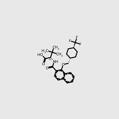 CC(C)(C)[C@H](NC(=O)c1ccc2ccccc2c1OC[C@H]1CC[C@H](C(F)(F)F)CC1)C(=O)O